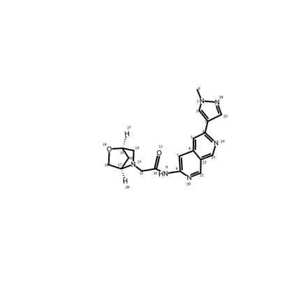 Cn1cc(-c2cc3cc(NC(=O)CN4C[C@H]5C[C@@H]4CO5)ncc3cn2)cn1